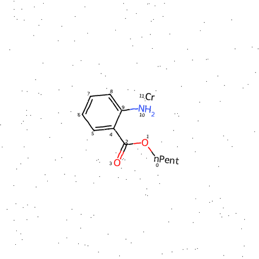 CCCCCOC(=O)c1ccccc1N.[Cr]